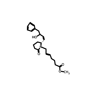 COC(=O)CCCC=CCN1C(=O)CCC[C@@H]1/C=C\C(O)Cc1ccccc1